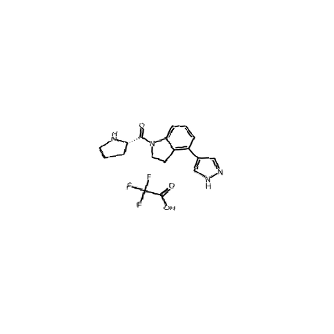 O=C(O)C(F)(F)F.O=C([C@@H]1CCCN1)N1CCc2c(-c3cn[nH]c3)cccc21